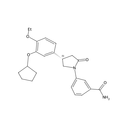 CCOc1ccc([C@@H]2CC(=O)N(c3cccc(C(N)=O)c3)C2)cc1OC1CCCC1